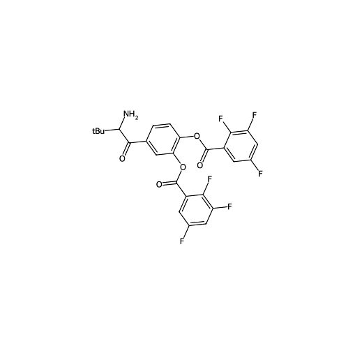 CC(C)(C)C(N)C(=O)c1ccc(OC(=O)c2cc(F)cc(F)c2F)c(OC(=O)c2cc(F)cc(F)c2F)c1